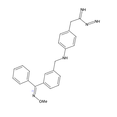 CO/N=C(/c1ccccc1)c1cccc(CNc2ccc(CC(=N)N=N)cc2)c1